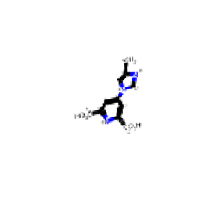 Cc1cn(-c2cc(C(=O)O)nc(C(=O)O)c2)cn1